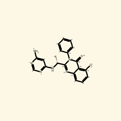 C[C@@H](Nc1cc(N)ncn1)c1nc2cccc(Cl)c2c(=O)n1-c1ccccc1